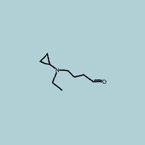 CCN(CCCC=O)C1CC1